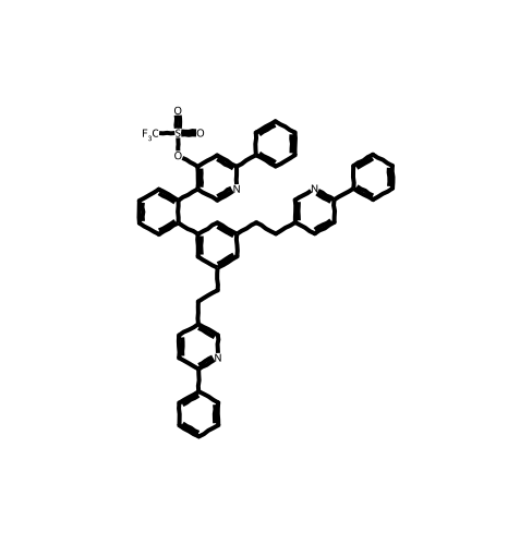 O=S(=O)(Oc1cc(-c2ccccc2)ncc1-c1ccccc1-c1cc(CCc2ccc(-c3ccccc3)nc2)cc(CCc2ccc(-c3ccccc3)nc2)c1)C(F)(F)F